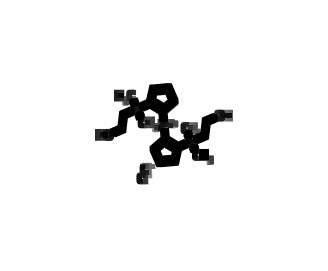 C[Si](C)(CCO)C1=[C]([Zr+2][C]2=C([Si](C)(C)CCO)C=CC2)CC=C1.[Cl-].[Cl-]